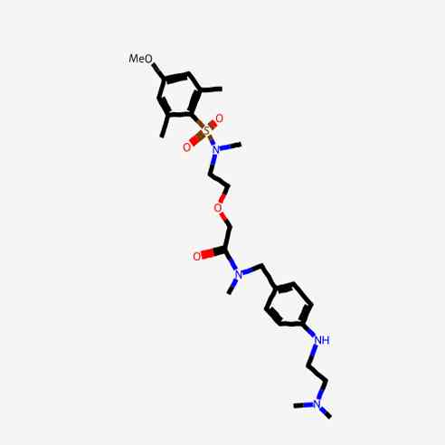 COc1cc(C)c(S(=O)(=O)N(C)CCOCC(=O)N(C)Cc2ccc(NCCN(C)C)cc2)c(C)c1